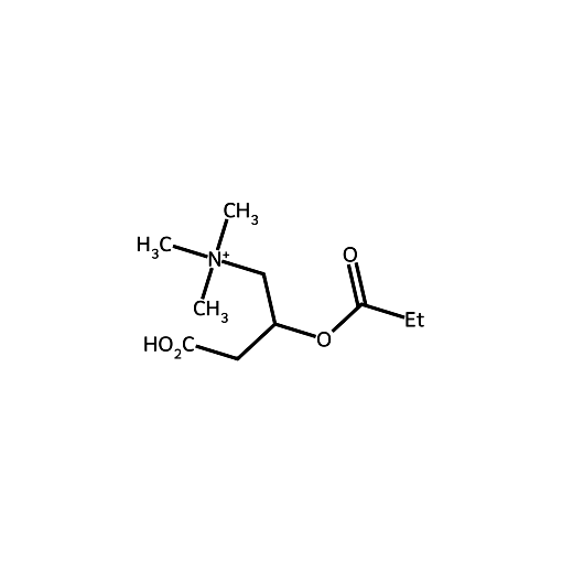 CCC(=O)OC(CC(=O)O)C[N+](C)(C)C